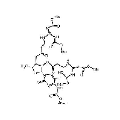 CCCCCOC(=O)Nc1nc(=O)n([C@@H]2O[C@H](C)[C@@H](CC(=O)CCN/C(=N/C(=O)OC(C)(C)C)NC(=O)OC(C)(C)C)[C@H]2OC(=O)CCN/C(=N/C(=O)OC(C)(C)C)NC(O)OC(C)(C)C)cc1F